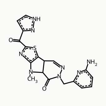 CN1c2nc(C(=O)c3cc[nH]n3)sc2C2C=NN(Cc3cccc(N)n3)C(=O)C21